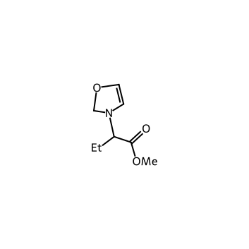 CCC(C(=O)OC)N1C=COC1